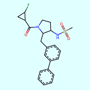 CS(=O)(=O)NC1CCN(C(=O)C2CC2F)C1Cc1cccc(-c2ccccc2)c1